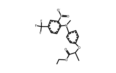 CCOC(=O)C(C)Oc1ccc(N(C)c2ccc(C(F)(F)F)cc2[N+](=O)[O-])cc1